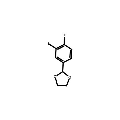 Fc1ccc(C2OCCO2)cc1I